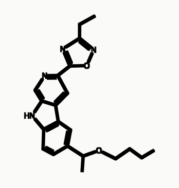 CCCCOC(C)c1ccc2[nH]c3cnc(-c4nc(CC)no4)cc3c2c1